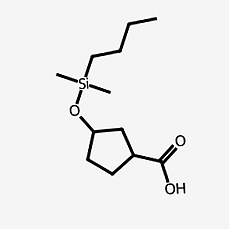 CCCC[Si](C)(C)OC1CCC(C(=O)O)C1